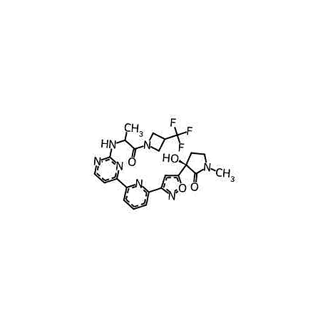 CC(Nc1nccc(-c2cccc(-c3cc([C@]4(O)CCN(C)C4=O)on3)n2)n1)C(=O)N1CC(C(F)(F)F)C1